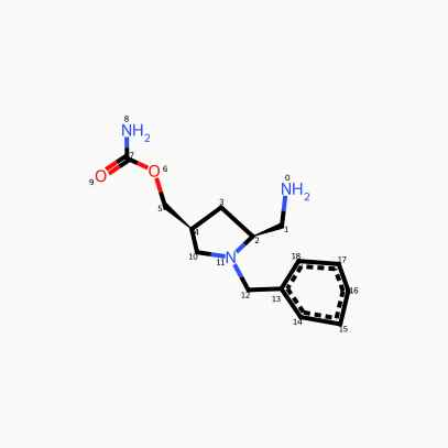 NC[C@@H]1C[C@H](COC(N)=O)CN1Cc1ccccc1